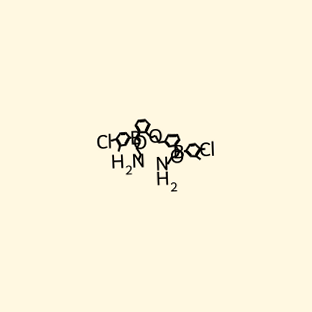 Cc1cc(B(OCCN)c2cccc(COCc3ccccc3B(OCCN)c3ccc(Cl)c(C)c3)c2)ccc1Cl